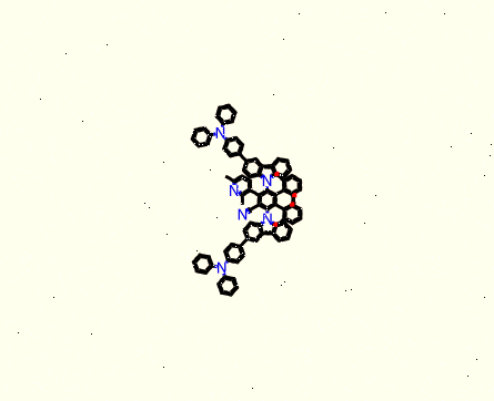 Cc1ccc(-c2c(C#N)c(-n3c4ccccc4c4cc(-c5ccc(N(c6ccccc6)c6ccccc6)cc5)ccc43)c(-c3c(C)cccc3C)c(-c3c(C)cccc3C)c2-n2c3ccccc3c3cc(-c4ccc(N(c5ccccc5)c5ccccc5)cc4)ccc32)c(C)n1